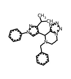 CC(C)c1nn(-c2ccccc2)cc1C1c2nnnn2CCN1Cc1ccccc1